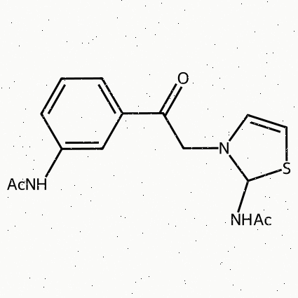 CC(=O)Nc1cccc(C(=O)CN2C=CSC2NC(C)=O)c1